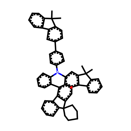 CC1(C)c2ccccc2-c2cc(-c3ccc(N(c4ccc5c(c4)C(C)(C)c4ccccc4-5)c4ccccc4-c4cccc5c4-c4ccccc4C54CCCCC4)cc3)ccc21